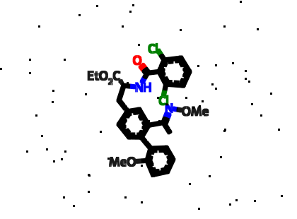 CCOC(=O)[C@H](Cc1ccc(-c2ccccc2OC)c(/C(C)=N/OC)c1)NC(=O)c1c(Cl)cccc1Cl